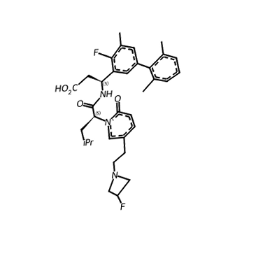 Cc1cc(-c2c(C)cccc2C)cc([C@H](CC(=O)O)NC(=O)[C@H](CC(C)C)n2cc(CCN3CC(F)C3)ccc2=O)c1F